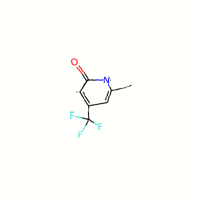 CC1=CC(C(F)(F)F)=[C]C(=O)[N]1